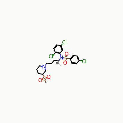 C[C@H](CCCN1CCCC(S(C)(=O)=O)C1)N(c1cc(Cl)ccc1Cl)S(=O)(=O)c1ccc(Cl)cc1